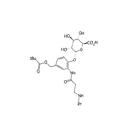 CC(C)NCCC(=O)Nc1cc(COC(=O)C(C)(C)C)ccc1O[C@H]1O[C@H](C(=O)O)[C@@H](O)[C@H](O)[C@H]1O